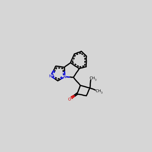 CC1(C)CC(=O)C1C1c2ccccc2-c2cncn21